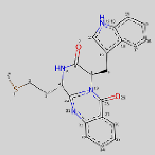 CSCC[C@@H]1NC(=O)[C@@H](Cc2c[nH]c3ccccc23)n2c1nc1ccccc1c2=O